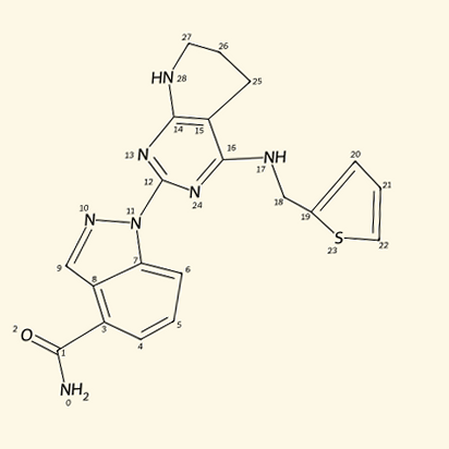 NC(=O)c1cccc2c1cnn2-c1nc2c(c(NCc3cccs3)n1)CCCN2